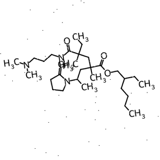 C=C1CCCN1C(C)CC(C)(CC(C)(CC)C(=O)NCCCN(C)C)C(=O)OCC(CC)CCCC